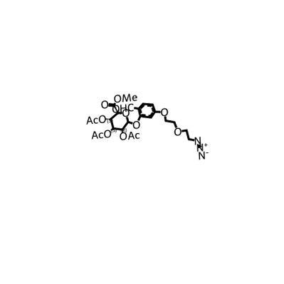 COC(=O)[C@H]1OC(Oc2cc(OCCOCCN=[N+]=[N-])ccc2C=O)[C@H](OC(C)=O)[C@@H](OC(C)=O)[C@@H]1OC(C)=O